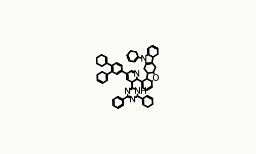 C1=CCCC(c2cc(C3=CC(C4=NC(c5ccccc5)=NC(C5=CCCC=C5)N4)C(C4=CC=CC5OC6CC7=C(CC6C45)N(C4=CC=CCC4)C4=CC=CCC47)N=C3)ccc2C2=CCCCC2)=C1